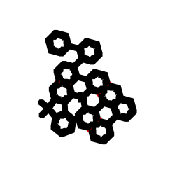 CC1(C)c2ccccc2-c2c(N(c3ccccc3-c3ccccc3-c3ccccc3-c3ccccc3)c3ccccc3-c3cccc4cccc(-c5ccccc5)c34)cccc21